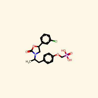 CC(Cc1ccc(OCP(=O)(O)O)cc1)N1CC(c2cccc(Cl)c2)OC1=O